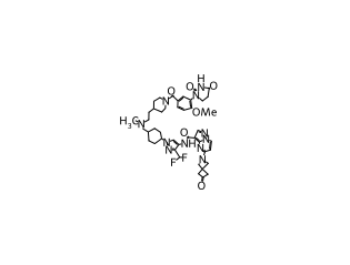 COc1ccc(C(=O)N2CCC(CCN(C)CC3CCC(n4cc(NC(=O)c5cnn6ccc(N7CC8(CC(=O)C8)C7)nc56)c(C(F)F)n4)CC3)CC2)cc1N1CCC(=O)NC1=O